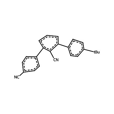 CC(C)(C)c1ccc(-c2cccc(-c3ccc(C#N)cc3)c2C#N)cc1